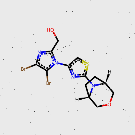 OCc1nc(Br)c(Br)n1-c1csc(N2[C@@H]3CC[C@H]2COC3)n1